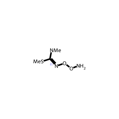 CN/C(=N\OON)SC